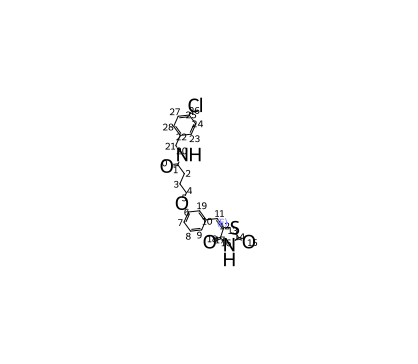 O=C(CCCOc1cccc(/C=C2/SC(=O)NC2=O)c1)NCc1ccc(Cl)cc1